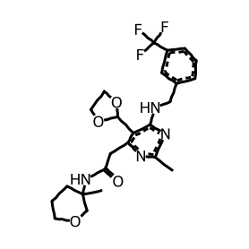 Cc1nc(CC(=O)NC2(C)CCCOC2)c(C2OCCO2)c(NCc2cccc(C(F)(F)F)c2)n1